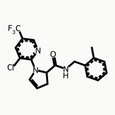 Cc1ccccc1CNC(=O)C1CC=CN1c1ncc(C(F)(F)F)cc1Cl